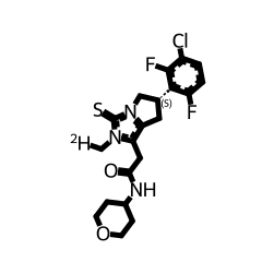 [2H]Cn1c(CC(=O)NC2CCOCC2)c2n(c1=S)C[C@H](c1c(F)ccc(Cl)c1F)C2